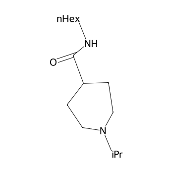 CCCCCCNC(=O)C1CCN(C(C)C)CC1